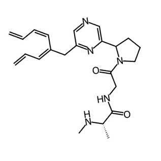 C=C/C=C\C(=C/C=C)Cc1cncc(C2CCCN2C(=O)CNC(=O)[C@H](C)NC)n1